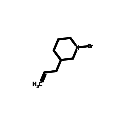 C=CCC1CCCN(Br)C1